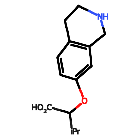 CC(C)C(Oc1ccc2c(c1)CNCC2)C(=O)O